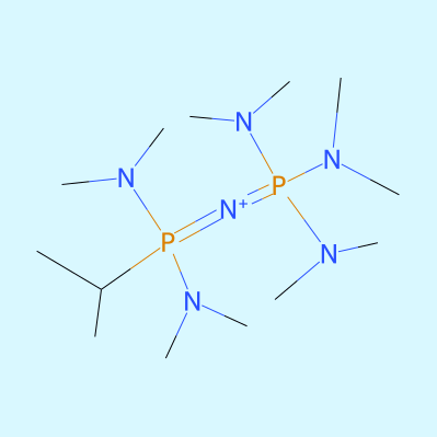 CC(C)P(=[N+]=P(N(C)C)(N(C)C)N(C)C)(N(C)C)N(C)C